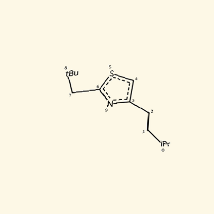 CC(C)CCc1csc(CC(C)(C)C)n1